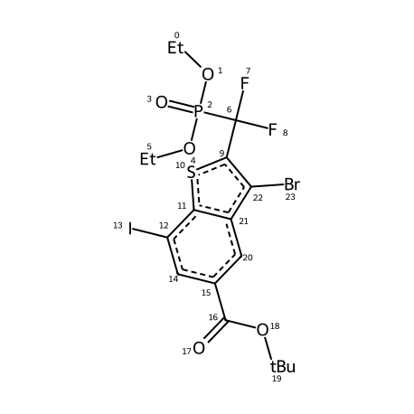 CCOP(=O)(OCC)C(F)(F)c1sc2c(I)cc(C(=O)OC(C)(C)C)cc2c1Br